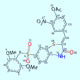 COc1cccc(OC)c1CS(=O)(=O)c1ccc2c(c1)S/C(=C\c1ccc(OC(C)=O)c([N+](=O)[O-])c1)C(=O)N2